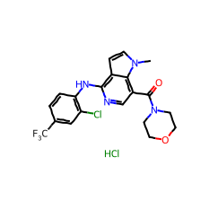 Cl.Cn1ccc2c(Nc3ccc(C(F)(F)F)cc3Cl)ncc(C(=O)N3CCOCC3)c21